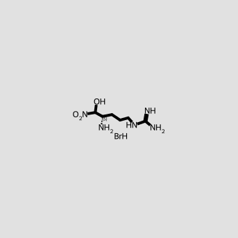 Br.N=C(N)NCCC[C@H](N)C(O)[N+](=O)[O-]